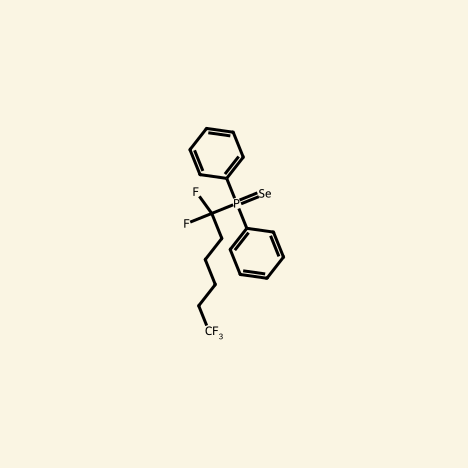 FC(F)(F)CCCCC(F)(F)P(=[Se])(c1ccccc1)c1ccccc1